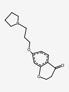 O=C1CCOc2cc(OCCCN3CCCC3)ccc21